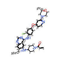 C=CC(=O)N1CCC(Nc2cc3c(Nc4ccc(Oc5ccnc(N6CCO[C@H](C(C)C)C6)c5)cc4F)ncnc3cc2OC)CC1